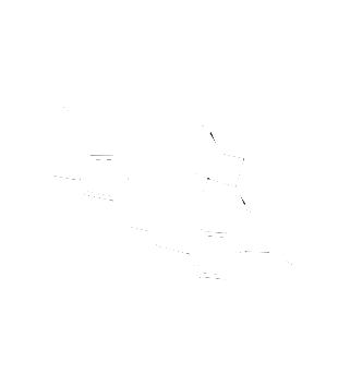 CC1(C)[C@@H](O)C[C@H]1Nc1nc(NCCc2ccc(C#N)c(F)c2)ncc1C#N